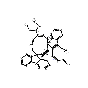 C=C/C=C\C1=C(C)c2ccccc2C12C(=C)/C=C(B(ON)ON)\C=C/CC1(c3ccccc3-c3ccccc31)c1ccccc12